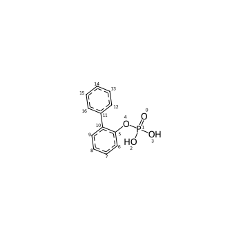 O=P(O)(O)Oc1ccccc1-c1ccccc1